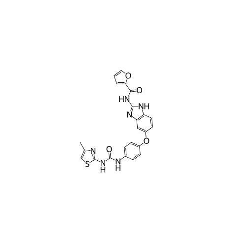 Cc1csc(NC(=O)Nc2ccc(Oc3ccc4[nH]c(NC(=O)c5ccco5)nc4c3)cc2)n1